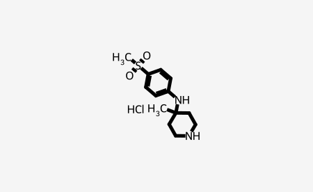 CC1(Nc2ccc(S(C)(=O)=O)cc2)CCNCC1.Cl